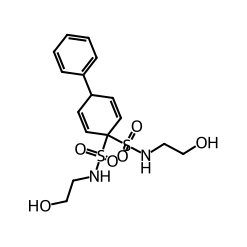 O=S(=O)(NCCO)C1(S(=O)(=O)NCCO)C=CC(c2ccccc2)C=C1